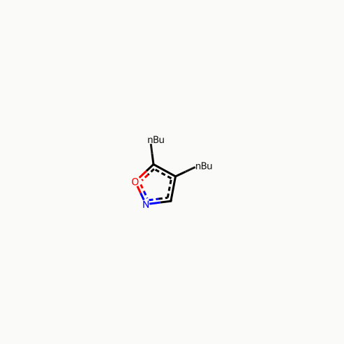 [CH2]CCCc1oncc1CCCC